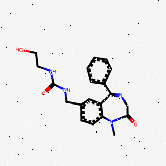 CN1C(=O)CN=C(c2ccccc2)c2cc(CNC(=O)NCCO)ccc21